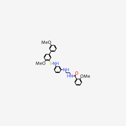 COc1cccc(-c2ccc(OC)c(SNc3cccc(NCCNC(=O)c4ccccc4OC)c3)c2)c1